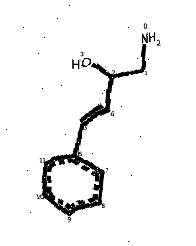 NCC(O)C=Cc1ccccc1